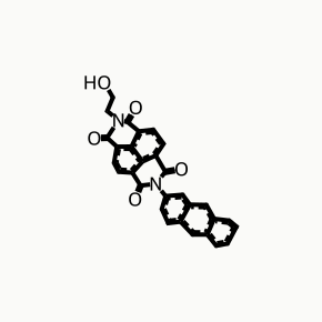 O=C1c2ccc3c4c(ccc(c24)C(=O)N1CCO)C(=O)N(c1ccc2cc4ccccc4cc2c1)C3=O